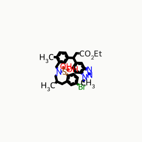 CCOC(=O)CC(c1ccc(C)c(CN2CC(C)Cc3cc(Br)ccc3S2(O)O)c1)c1ccc2c(c1)nnn2C